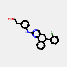 OCCc1cccc(Nc2ncc3c(n2)-c2ccccc2C(c2ccccc2F)C3)c1